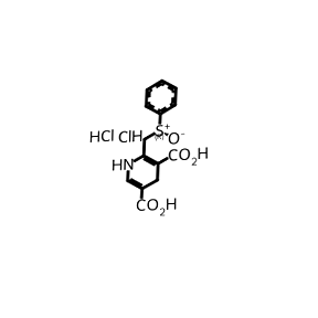 Cl.Cl.O=C(O)C1=CNC(C[S@+]([O-])c2ccccc2)=C(C(=O)O)C1